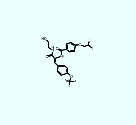 O=C(NCCO)C(=Cc1ccc(OC(F)(F)F)cc1)NC(=O)c1ccc(OCC(F)F)cc1